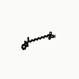 O=S(=O)(O)CCCCCCCCCCCCC(=S)c1nc2ccccc2s1